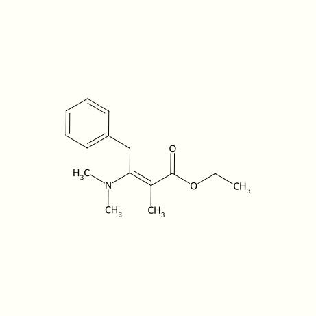 CCOC(=O)C(C)=C(Cc1ccccc1)N(C)C